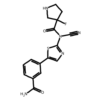 N#CN(C(=O)C1(F)CCNC1)c1ncc(-c2cccc(C(N)=O)c2)s1